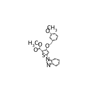 COC(=O)c1sc(-n2cnc3ccccc32)cc1OCc1cccc(OC)c1